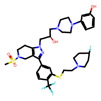 CS(=O)(=O)N1CCc2c(c(-c3ccc(C(F)(F)F)c(SCCN4CCC(F)CC4)c3)nn2C[C@H](O)CN2CCN(c3cccc(O)c3)CC2)C1